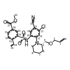 C=CCOC[C@@H]1CCCCN1c1cc(Cl)c(C#N)cc1NS(=O)(=O)c1cc(C(=O)OC)ccc1C=C